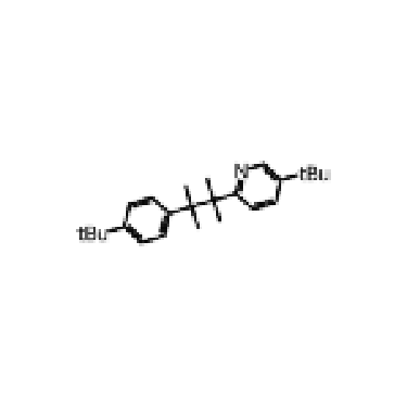 CC(C)(C)c1ccc(C(C)(C)C(C)(C)c2ccc(C(C)(C)C)cn2)cc1